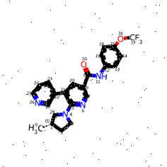 C[C@H]1CCN(c2ncc(C(=O)Nc3ccc(OC(F)(F)F)cc3)cc2-c2cccnc2)C1